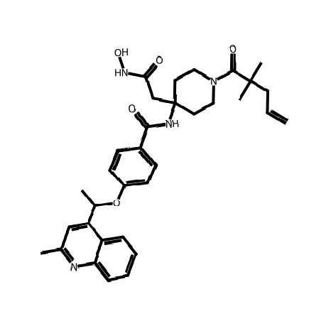 C=CCC(C)(C)C(=O)N1CCC(CC(=O)NO)(NC(=O)c2ccc(OC(C)c3cc(C)nc4ccccc34)cc2)CC1